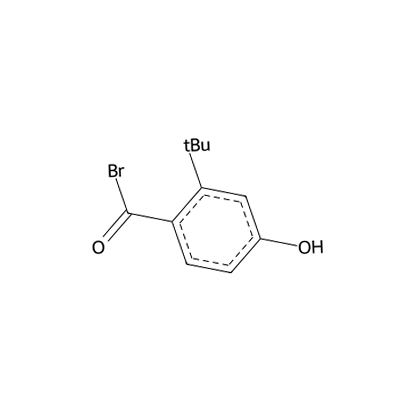 CC(C)(C)c1cc(O)ccc1C(=O)Br